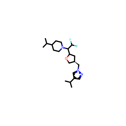 CC(C)c1cnn(C[C@H]2COC(C(C(F)F)N3CCC(C(C)C)CC3)C2)c1